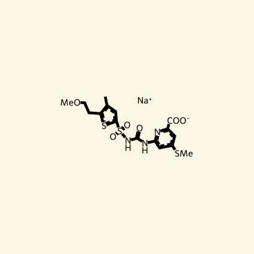 COCCc1sc(S(=O)(=O)NC(=O)Nc2cc(SC)cc(C(=O)[O-])n2)cc1C.[Na+]